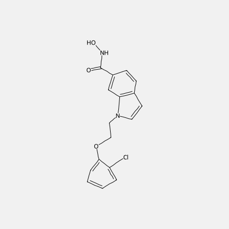 O=C(NO)c1ccc2ccn(CCOc3ccccc3Cl)c2c1